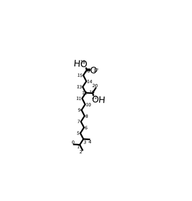 CC(C)C(C)CCCCCCCC(CCCC(=O)O)C(C)O